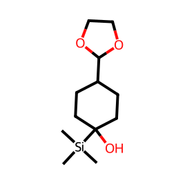 C[Si](C)(C)C1(O)CCC(C2OCCO2)CC1